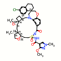 COc1nn(C)cc1C(=O)N[S@@]1(=O)=NC(=O)c2ccc3c(c2)N(C[C@@H]2CC[C@H]2[C@@H](OC)C[C@H]2[C@@H](C)CO[C@@H]2CC1)C[C@@]1(CCCc2cc(Cl)ccc21)CO3